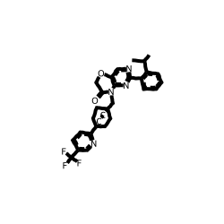 CC(C)c1ccccc1-c1ncc2c(n1)N(CC13CCC(c4ccc(C(F)(F)F)cn4)(CC1)CC3)C(=O)CO2